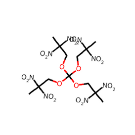 CC(COC(OCC(C)([N+](=O)[O-])[N+](=O)[O-])(OCC(C)([N+](=O)[O-])[N+](=O)[O-])OCC(C)([N+](=O)[O-])[N+](=O)[O-])([N+](=O)[O-])[N+](=O)[O-]